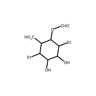 CCC1C(O)C(O)C(CC)C(C(=O)O)C1OC=O